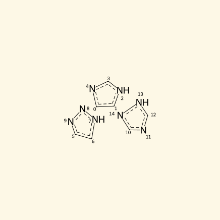 c1c[nH]cn1.c1c[nH]nn1.c1nc[nH]n1